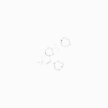 CC1(C)C=C(c2cccnc2)c2cc(S(=O)(=O)c3ccccc3)ccc2O1